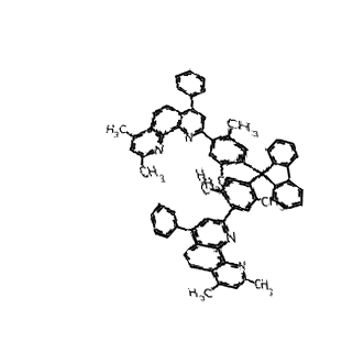 Cc1cc(C)c2ccc3c(-c4ccccc4)cc(-c4cc(C)c(C5(c6cc(C)c(-c7cc(-c8ccccc8)c8ccc9c(C)cc(C)nc9c8n7)cc6C)c6ccccc6-c6ccccc65)cc4C)nc3c2n1